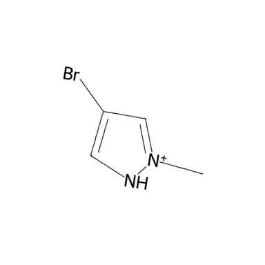 C[n+]1cc(Br)c[nH]1